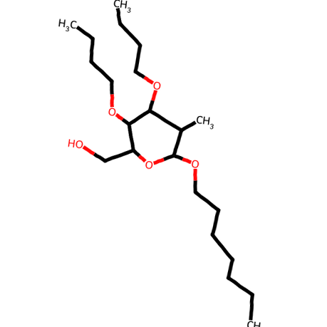 CCCCCCCOC1OC(CO)C(OCCCC)C(OCCCC)C1C